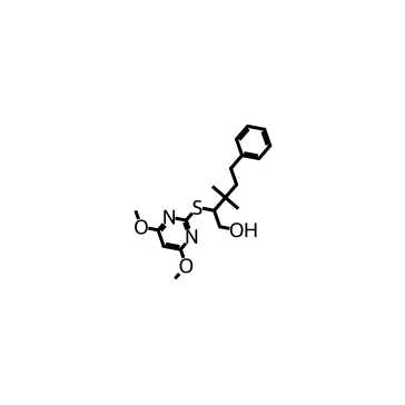 COc1cc(OC)nc(SC(CO)C(C)(C)CCc2ccccc2)n1